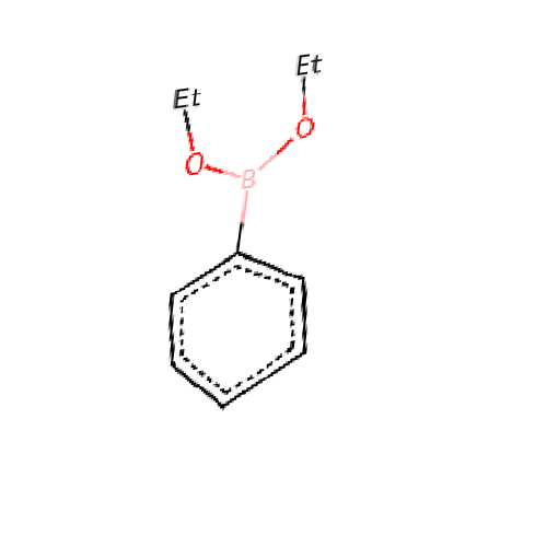 CCOB(OCC)c1ccccc1